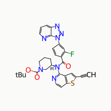 C#Cc1cc2c(N(C(=O)c3ccc(-n4nnc5cccnc54)cc3F)[C@@H]3CCCN(C(=O)OC(C)(C)C)C3)nccc2s1